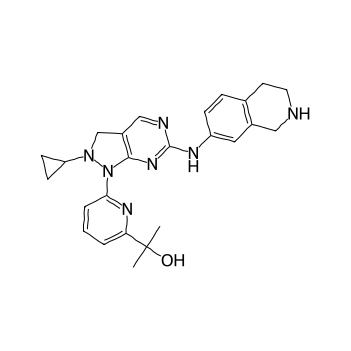 CC(C)(O)c1cccc(N2c3nc(Nc4ccc5c(c4)CNCC5)ncc3CN2C2CC2)n1